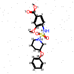 COC(=O)c1ccc(NS(=O)(=O)N2CCCC(Oc3ccccc3)C2)c(OC)c1